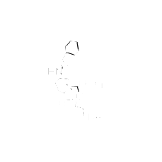 CCCCCCCCCCCCSC(=O)[C@@H]1CC[C@@H](NOCc2ccccc2)CN1C(=O)OC(C)(C)C